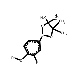 CC(C)Oc1ccc(B2OC(C)(C)C(C)(C)O2)cc1F